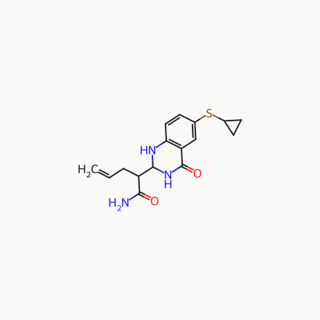 C=CCC(C(N)=O)C1NC(=O)c2cc(SC3CC3)ccc2N1